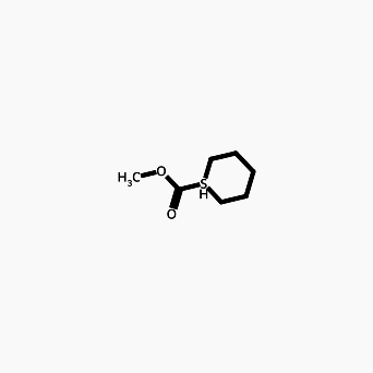 COC(=O)[SH]1CCCCC1